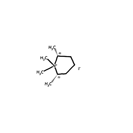 C[C@@H]1CCC[C@H](C)[N+]1(C)C.[I-]